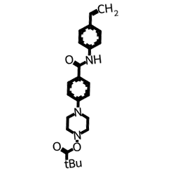 C=Cc1ccc(NC(=O)c2ccc(N3CCN(OC(=O)C(C)(C)C)CC3)cc2)cc1